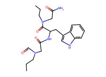 CCCN(C=O)CC(=O)NC(Cc1c[nH]c2ccccc12)C(=O)N(CCC)CC(N)=O